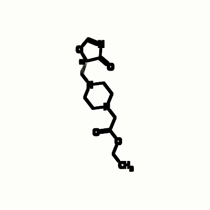 CCOC(=O)CN1CCN(C[C@@H]2OC=NC2=O)CC1